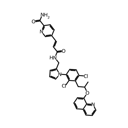 CC(Cc1c(Cl)ccc(-n2cccc2CNC(=O)C=Cc2ccc(C(N)=O)nc2)c1Cl)Oc1cccc2cccnc12